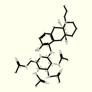 CCCN1CCC[C@@H]2Cc3c(ccc(O)c3O[C@@H]3O[C@H](COC(C)=O)[C@@H](OC(C)=O)[C@H](OC(C)=O)[C@H]3OC(C)=O)C[C@H]21